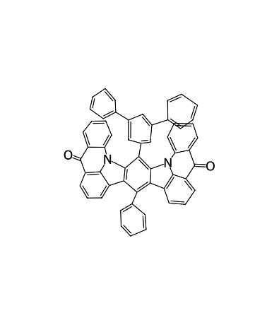 O=c1c2ccccc2n2c3c(-c4cc(-c5ccccc5)cc(-c5ccccc5)c4)c4c(c(-c5ccccc5)c3c3cccc1c32)c1cccc2c(=O)c3ccccc3n4c21